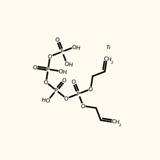 C=CCOP(=O)(OCC=C)OP(=O)(O)OP(=O)(O)OP(=O)(O)O.[Ti]